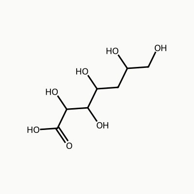 O=C(O)C(O)C(O)C(O)CC(O)CO